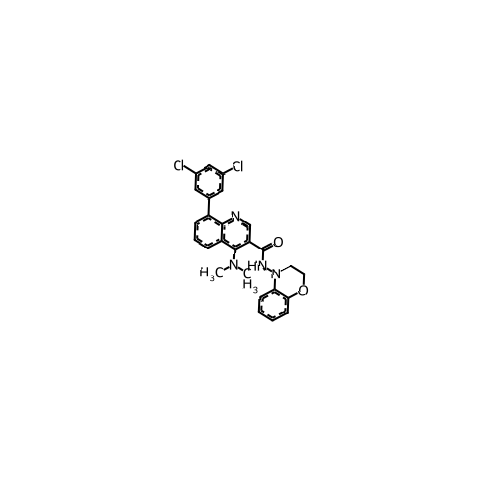 CN(C)c1c(C(=O)NN2CCOc3ccccc32)cnc2c(-c3cc(Cl)cc(Cl)c3)cccc12